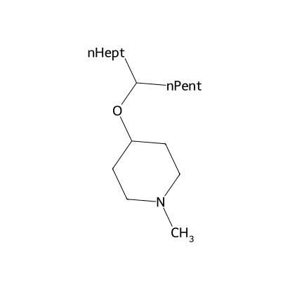 CCCCCCCC(CCCCC)OC1CCN(C)CC1